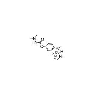 CN(C)NC(=O)Oc1ccc2c(c1)[C@]1(C)CCN(C)[C@@H]1N2C